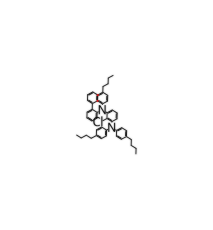 CCCCc1ccc(N(c2ccc(CCCC)cc2)c2cccc(N(c3ccc(CCCC)cc3)c3ccccc3-c3ccccc3)c2Cl)cc1